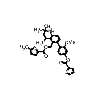 COc1cc(OC(=O)c2cccs2)ccc1-c1ccc2c(c1COC(=O)c1ccc(C)s1)C(C)=CC(C)(C)N2